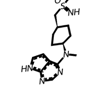 CCS(=N)(=O)C[C@H]1CC[C@@H](N(C)c2ncnc3[nH]ccc23)CC1